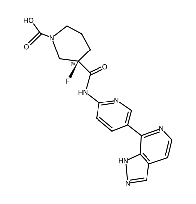 O=C(O)N1CCC[C@](F)(C(=O)Nc2ccc(-c3nccc4cn[nH]c34)cn2)C1